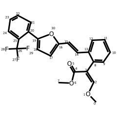 COC=C(C(=O)OC)c1ccccc1C=Cc1ccc(-c2ccccc2C(F)(F)F)o1